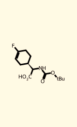 CC(C)(C)OC(=O)NC(C(=O)O)[C@H]1CC=C(F)CC1